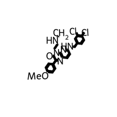 C=CNCCn1c(=O)c(-c2ccc(OC)cc2)nc2ccc(NCc3ccc(Cl)c(Cl)c3)nc21